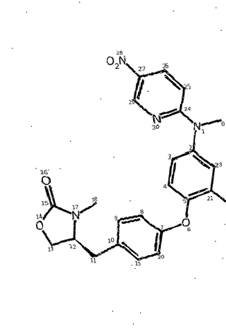 CN(c1ccc(Oc2ccc(C[C@H]3COC(=O)N3C)cc2)c(F)c1)c1ccc([N+](=O)[O-])cn1